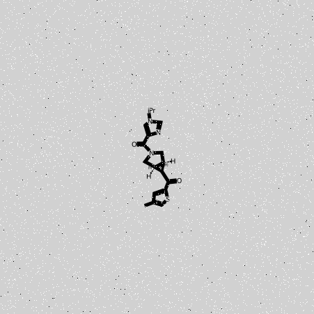 Cc1csc(C(=O)C2[C@H]3CN(C(=O)c4cn(C(C)C)cn4)C[C@@H]23)c1